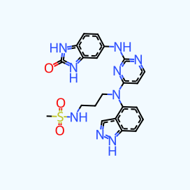 CS(=O)(=O)NCCCN(c1ccnc(Nc2ccc3[nH]c(=O)[nH]c3c2)n1)c1cccc2[nH]ncc12